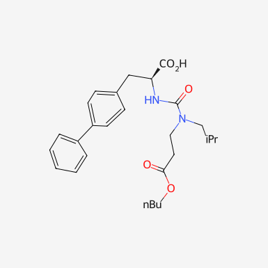 CCCCOC(=O)CCN(CC(C)C)C(=O)N[C@@H](Cc1ccc(-c2ccccc2)cc1)C(=O)O